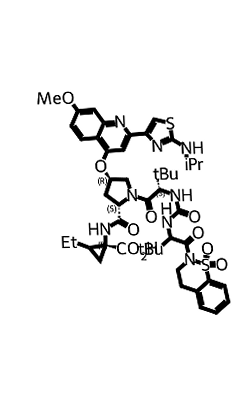 CCC1C[C@]1(NC(=O)[C@@H]1C[C@@H](Oc2cc(-c3csc(NC(C)C)n3)nc3cc(OC)ccc23)CN1C(=O)[C@@H](NC(=O)NC(C(=O)N1CCc2ccccc2S1(=O)=O)C(C)(C)C)C(C)(C)C)C(=O)O